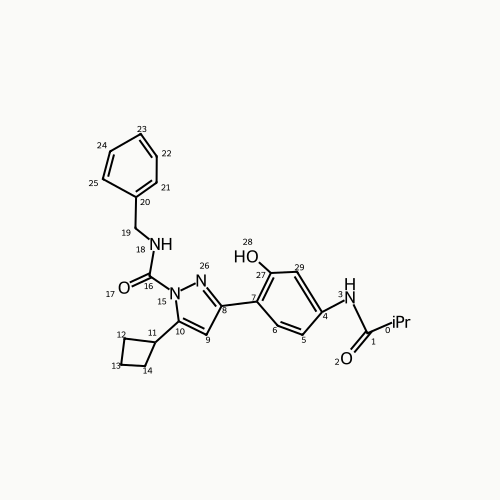 CC(C)C(=O)Nc1ccc(-c2cc(C3CCC3)n(C(=O)NCc3ccccc3)n2)c(O)c1